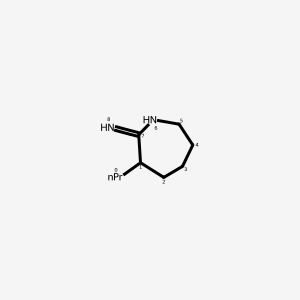 CCCC1CCCCNC1=N